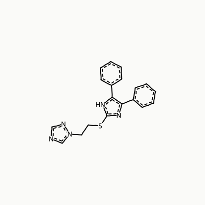 c1ccc(-c2nc(SCCn3cncn3)[nH]c2-c2ccccc2)cc1